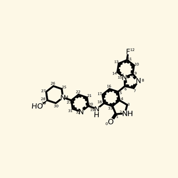 O=C1NCc2c(-c3cnc4cc(F)ccn34)ccc(Nc3ccc(N4CCC[C@H](O)C4)cn3)c21